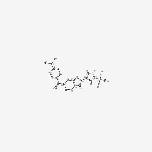 O=C(c1ccc(C(F)F)cc1)N1CCc2sc(-c3noc(C(F)(F)F)n3)cc2C1